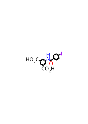 O=C(O)c1cc(NC(=O)c2ccc(I)cc2)cc(C(=O)O)c1